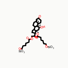 C[C@]12CCC(=O)C=C1CCC1C3CC[C@](OC(=O)CCCCCO[N+](=O)[O-])(C(=O)COC(=O)CCCCCO[N+](=O)[O-])[C@@]3(C)C[C@H](O)[C@@H]12